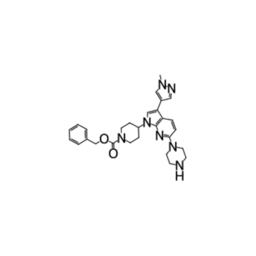 Cn1cc(-c2cn(C3CCN(C(=O)OCc4ccccc4)CC3)c3nc(N4CCNCC4)ccc23)cn1